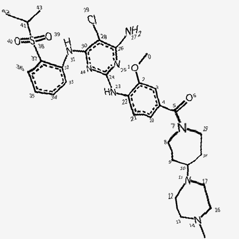 COc1cc(C(=O)N2CCC(N3CCN(C)CC3)CC2)ccc1Nc1nc(N)c(Cl)c(Nc2ccccc2S(=O)(=O)C(C)C)n1